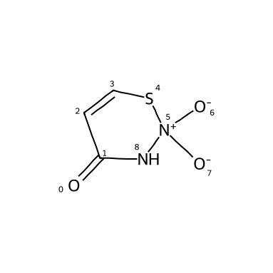 O=C1C=CS[N+]([O-])([O-])N1